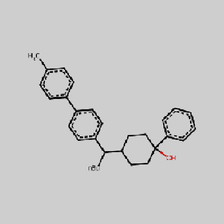 CCCCC(c1ccc(-c2ccc(C)cc2)cc1)C1CCC(O)(c2ccccc2)CC1